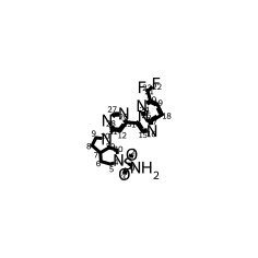 NS(=O)(=O)N1CCC2CCN(c3cc(-c4cnc5ccc(C(F)F)nn45)ncn3)C2C1